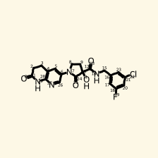 O=C1CCc2cc(N3CCC(O)(C(=O)NCc4cc(F)cc(Cl)c4)C3=O)cnc2N1